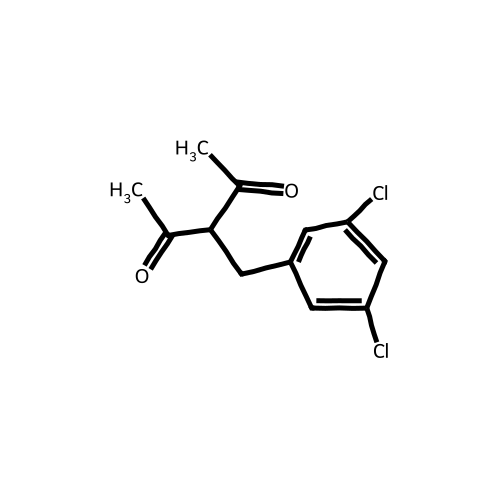 CC(=O)C(Cc1cc(Cl)cc(Cl)c1)C(C)=O